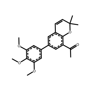 COc1cc(-c2cc3c(c(C(C)=O)c2)OC(C)(C)C=C3)cc(OC)c1OC